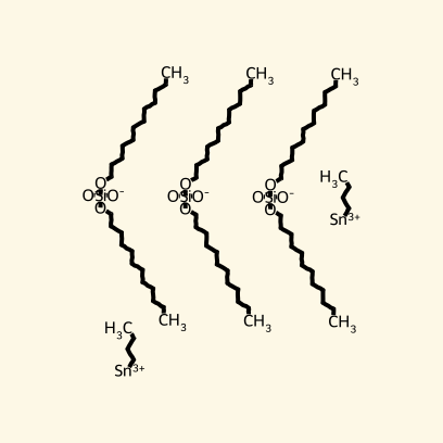 CCCCCCCCCCCCO[Si]([O-])([O-])OCCCCCCCCCCCC.CCCCCCCCCCCCO[Si]([O-])([O-])OCCCCCCCCCCCC.CCCCCCCCCCCCO[Si]([O-])([O-])OCCCCCCCCCCCC.CCC[CH2][Sn+3].CCC[CH2][Sn+3]